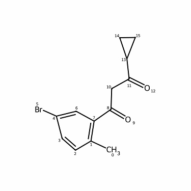 Cc1ccc(Br)cc1C(=O)CC(=O)C1CC1